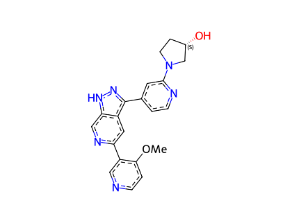 COc1ccncc1-c1cc2c(-c3ccnc(N4CC[C@H](O)C4)c3)n[nH]c2cn1